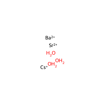 O.O.O.[Ba+2].[Cs+].[Sr+2]